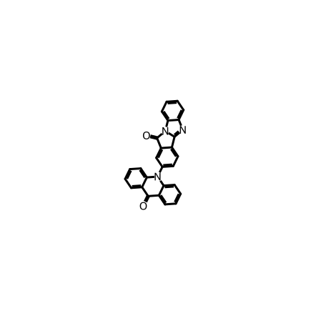 O=C1c2cc(-n3c4ccccc4c(=O)c4ccccc43)ccc2-c2nc3ccccc3n21